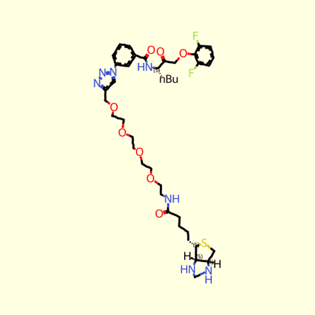 CCCC[C@H](NC(=O)c1cccc(-n2cc(COCCOCCOCCOCCNC(=O)CCCC[C@@H]3SC[C@@H]4NCN[C@@H]43)nn2)c1)C(=O)COc1c(F)cccc1F